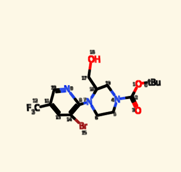 CC(C)(C)OC(=O)N1CCN(c2ncc(C(F)(F)F)cc2Br)C(CO)C1